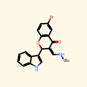 CC(C)(C)N/C=C1\C(=O)c2cc(Br)ccc2OC1c1c[nH]c2ccccc12